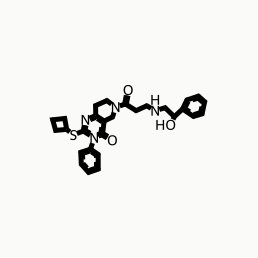 O=C(CCNCC(O)c1ccccc1)N1CCc2nc(SC3CCC3)n(-c3ccccc3)c(=O)c2C1